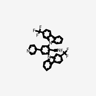 N#Cc1c(-n2c3ccccc3c3ccc(C(F)(F)F)cc32)cc(-c2ccncc2)cc1-n1c2ccccc2c2ccc(C(F)(F)F)cc21